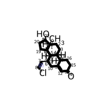 C[C@]12CC[C@H]3[C@@H]([C@H](/C=C\Cl)CC4=CC(=O)CC[C@@H]43)[C@@H]1CC[C@@H]2O